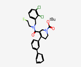 CC(C)(C)OC(=O)N1CCC(c2cccc(-c3ccccc3)c2)=C(C(=O)N(CCF)Cc2cccc(Cl)c2Cl)C1